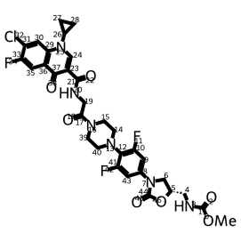 COC(=O)NC[C@H]1CN(c2cc(F)c(N3CCN(C(=O)CNC(=O)c4cn(C5CC5)c5cc(Cl)c(F)cc5c4=O)CC3)c(F)c2)C(=O)O1